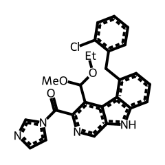 CCOC(OC)c1c(C(=O)n2ccnc2)ncc2[nH]c3cccc(Cc4ccccc4Cl)c3c12